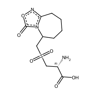 N[C@@H](CS(=O)(=O)CC1CCCCc2noc(=O)n21)C(=O)O